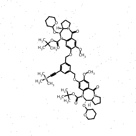 COc1cc2c(cc1OCc1cc(C#C[Si](C)(C)C)cc(COc3cc4c(cc3OC)C(=O)N3CCC[C@H]3[C@H](OC3CCCCO3)N4C(=O)OC(C)(C)C)c1)N(C(=O)OC(C)(C)C)[C@@H](OC1CCCCO1)[C@@H]1CCCN1C2=O